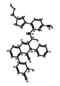 CCOc1nc(-c2cnc(N)nc2NC(C)c2nc3cccc(-c4ccc(=O)n(C)c4)c3c(=O)n2-c2ccccc2)cs1